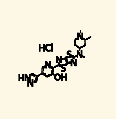 CC1CC(N(C)c2nc3sc(-c4ncc(-c5cn[nH]c5)cc4O)nc3s2)CCN1C.Cl